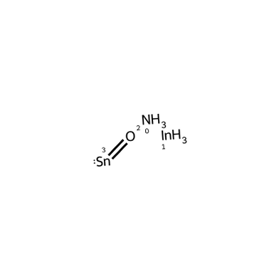 N.[InH3].[O]=[Sn]